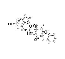 Cc1cn(Cc2ccccc2Cl)c(=O)c(NC(=O)NC(CC(=O)O)c2ccco2)c1O